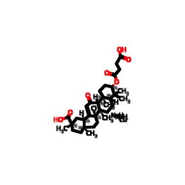 CC1(C)[C@@H](OC(=O)CCC(=O)O)CC[C@]2(C)[C@H]3C(=O)C=C4[C@@H]5C[C@@](C)(C(=O)O)CC[C@]5(C)CC[C@@]4(C)[C@]3(C)CC[C@@H]12.[Cu].[NaH].[NaH]